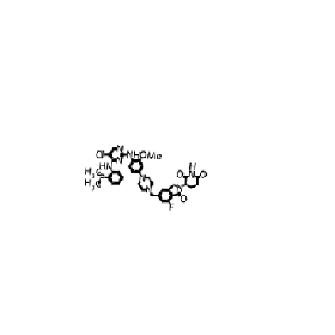 COc1cc(N2CCN(Cc3cc(F)c4c(c3)CN(C3CCC(=O)NC3=O)C4=O)CC2)ccc1Nc1ncc(Cl)c(Nc2ccccc2P(C)C)n1